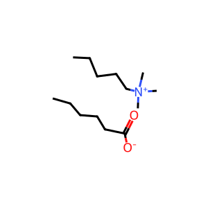 CCCCCC(=O)[O-].CCCCC[N+](C)(C)C